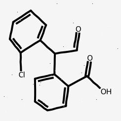 O=CC(c1ccccc1Cl)c1ccccc1C(=O)O